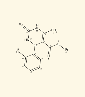 CC1=C(C(=O)OC(C)C)C(c2ccccc2Cl)NC(=S)N1